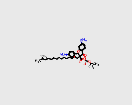 CC(C)CCCCCCCCCCCCCC(C(=O)[O][Ti](=[O])[O]C(C)C)(C(=O)c1ccc(N)cc1)C(=O)c1ccc(N)cc1